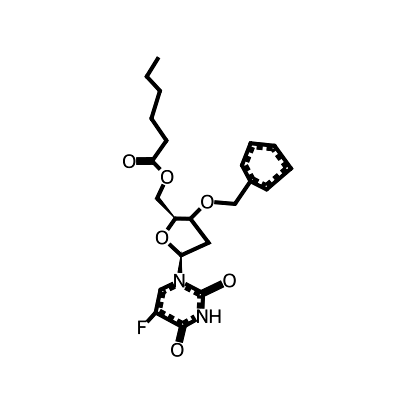 CCCCCC(=O)OC[C@@H]1O[C@H](n2cc(F)c(=O)[nH]c2=O)CC1OCc1ccccc1